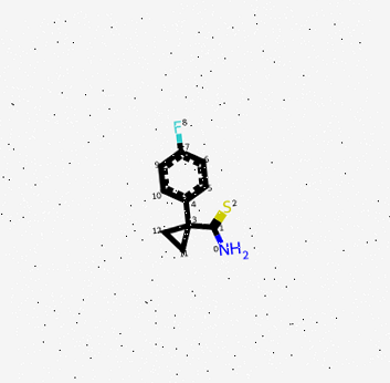 NC(=S)C1(c2ccc(F)cc2)CC1